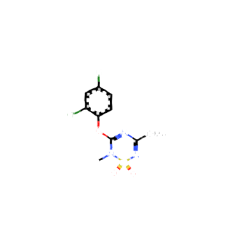 COC1=NS(=O)(=O)N(C)C(Oc2ccc(Cl)cc2Cl)=N1